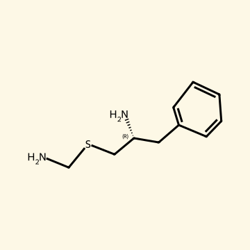 NCSC[C@H](N)Cc1ccccc1